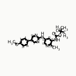 COc1ccc(-c2cnc(Nc3cnc(C)c(NC(=O)OC(C)(C)C)c3)nc2)cc1